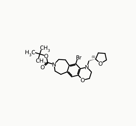 CC(C)(C)OC(=O)N1CCc2cc3c(c(Br)c2CC1)N(C[C@@H]1CCCO1)CCO3